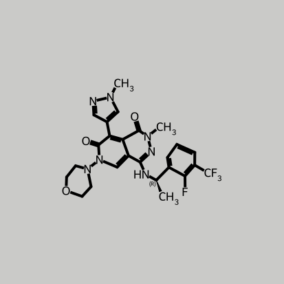 C[C@@H](Nc1nn(C)c(=O)c2c(-c3cnn(C)c3)c(=O)n(N3CCOCC3)cc12)c1cccc(C(F)(F)F)c1F